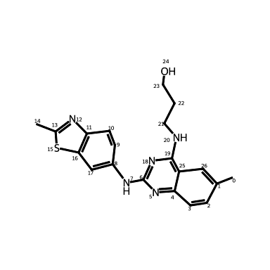 Cc1ccc2nc(Nc3ccc4nc(C)sc4c3)nc(NCCCO)c2c1